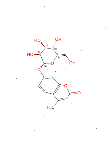 Cc1cc(=O)oc2cc(O[C@@H]3O[C@H](CO)[C@@H](O)[C@H](O)[C@@H]3O)ccc12